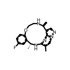 C=C1NCCOc2ccc(F)cc2[C@@H](C)Nc2nc3c1cnn3cc2C